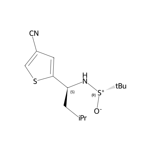 CC(C)C[C@H](N[S@@+]([O-])C(C)(C)C)c1cc(C#N)cs1